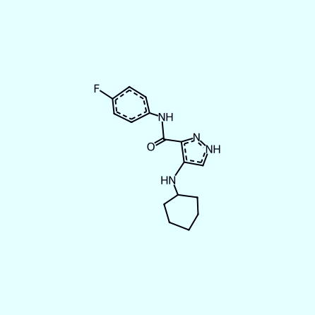 O=C(Nc1ccc(F)cc1)c1n[nH]cc1NC1CCCCC1